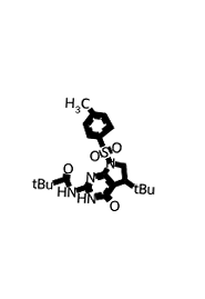 Cc1ccc(S(=O)(=O)N2CC(C(C)(C)C)c3c2nc(NC(=O)C(C)(C)C)[nH]c3=O)cc1